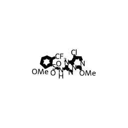 COc1cccc(C(F)(F)F)c1S(=O)(=O)Nc1nc2c(Cl)cnc(OC)n2n1